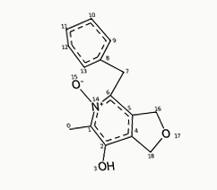 Cc1c(O)c2c(c(Cc3ccccc3)[n+]1[O-])COC2